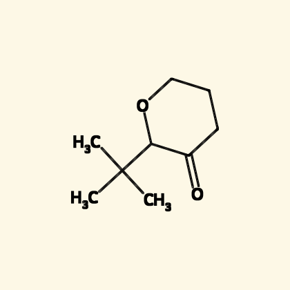 CC(C)(C)C1OCCCC1=O